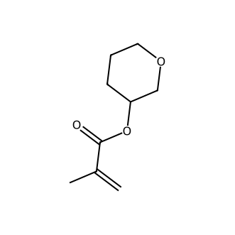 C=C(C)C(=O)OC1CCCOC1